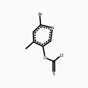 Cc1cc(Br)ncc1OC(=S)Cl